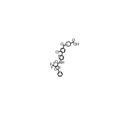 O=C(Nc1ccc(-c2ccc(C(=O)N3CCC(C(=O)O)CC3)cc2Cl)nc1)c1nc(-c2ccccc2)oc1C(F)(F)F